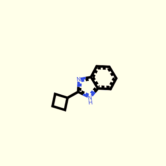 c1ccc2[nH]c([C]3CCC3)nc2c1